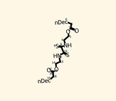 CCCCCCCCCCCC(=O)OCCNC(=S)C(=S)NCCOC(=O)CCCCCCCCCCC